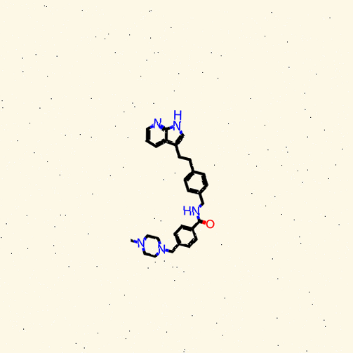 CN1CCN(Cc2ccc(C(=O)NCc3ccc(CCc4c[nH]c5ncccc45)cc3)cc2)CC1